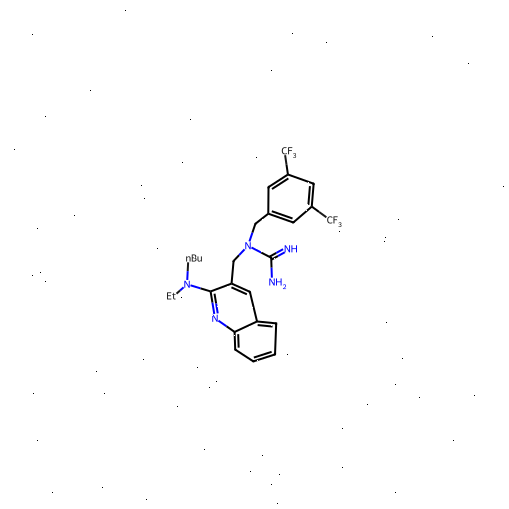 CCCCN(CC)c1nc2ccccc2cc1CN(Cc1cc(C(F)(F)F)cc(C(F)(F)F)c1)C(=N)N